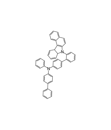 C1=CC2c3c(ccc4ccccc34)N(c3ccccc3-c3ccc(N(c4ccccc4)c4ccc(-c5ccccc5)cc4)cc3)C2C=C1